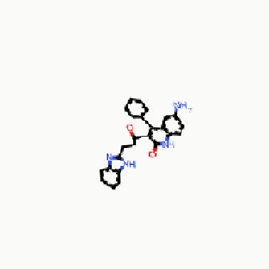 Nc1ccc2[nH]c(=O)c(C(=O)CCc3nc4ccccc4[nH]3)c(-c3ccccc3)c2c1